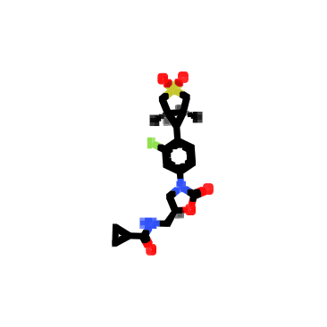 O=C(NC[C@H]1CN(c2ccc(C3[C@H]4CS(=O)(=O)C[C@@H]34)c(F)c2)C(=O)O1)C1CC1